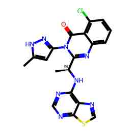 Cc1cc(-n2c([C@H](C)Nc3ncnc4scnc34)nc3cccc(Cl)c3c2=O)n[nH]1